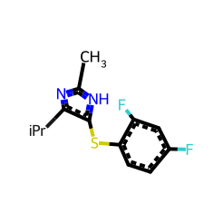 Cc1nc(C(C)C)c(Sc2ccc(F)cc2F)[nH]1